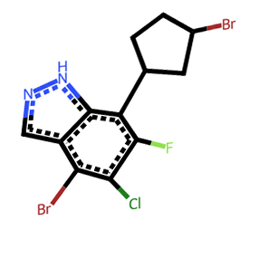 Fc1c(Cl)c(Br)c2cn[nH]c2c1C1CCC(Br)C1